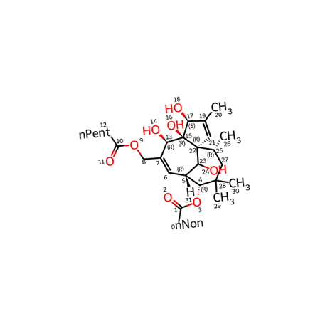 CCCCCCCCCC(=O)O[C@@H]1[C@@H]2C=C(COC(=O)CCCCC)[C@@H](O)[C@]3(O)[C@@H](O)C(C)=C[C@@]3(C2O)[C@H](C)CC1(C)C